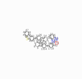 c1ccc([Si](c2ccccc2)(c2cccc(-c3ccc4c(c3)-n3c(nc5ccccc53)OC4)c2)c2cccc(-c3ccc4sc5ccccc5c4c3)c2)cc1